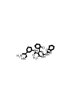 CC1=C(C(=O)Nc2cccc(/C(C=N)=C/N)c2)C(c2ccccc2Cl)N=C(Nc2nc3ccccc3o2)N1